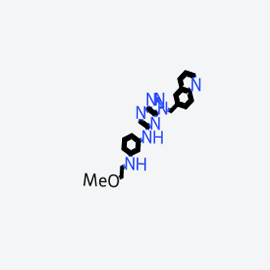 COCCNc1cccc(Nc2cnc3nnn(Cc4ccc5ncccc5c4)c3n2)c1